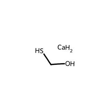 OCS.[CaH2]